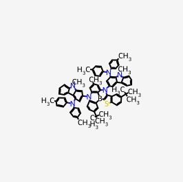 Cc1ccc(N(c2ccc(C)cc2)c2cc(N3c4ccc(C(C)(C)C)cc4B4c5sc6ccc(C(C)(C)C)cc6c5N(c5cc(N(c6ccc(C)cc6)c6ccc(C)cc6)c6c(c5)c5ccccc5n6C)c5cc(C)cc3c54)cc3c2c2ccccc2n3C)cc1